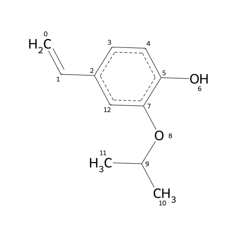 C=Cc1ccc(O)c(OC(C)C)c1